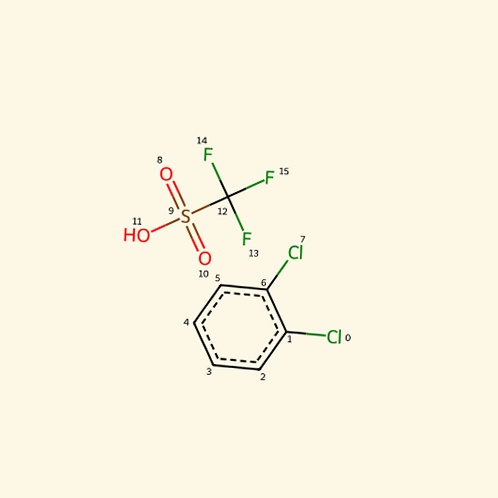 Clc1ccccc1Cl.O=S(=O)(O)C(F)(F)F